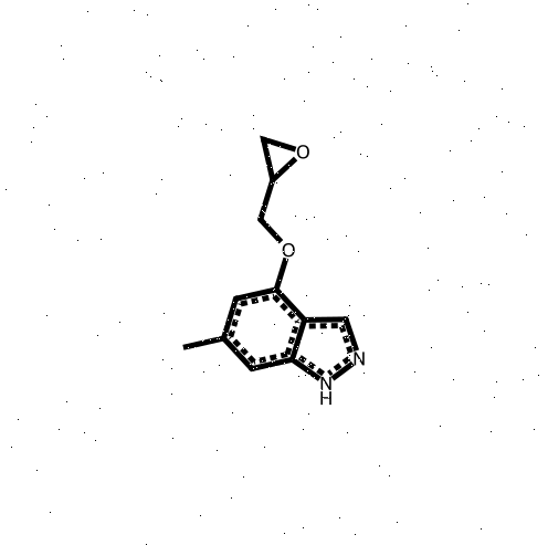 Cc1cc(OCC2CO2)c2cn[nH]c2c1